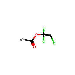 CCCC(=O)OC(Cl)(Cl)CCl